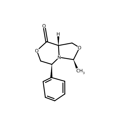 C[C@@H]1OC[C@H]2C(=O)OC[C@H](c3ccccc3)N12